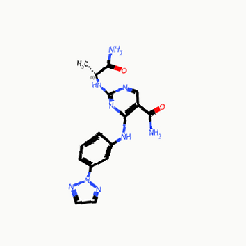 C[C@@H](Nc1ncc(C(N)=O)c(Nc2cccc(-n3nccn3)c2)n1)C(N)=O